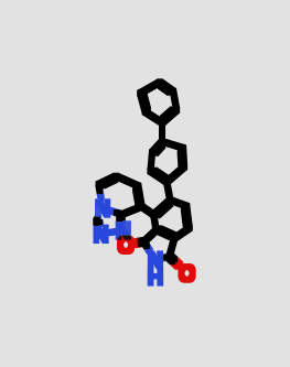 O=C1NC(=O)c2c1ccc(-c1ccc(-c3ccccc3)cc1)c2-c1cccn2cnnc12